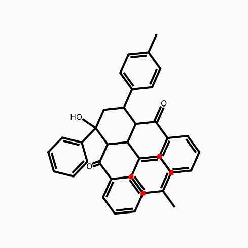 Cc1ccc(C2CC(O)(c3ccccc3)C(C(=O)c3ccccc3)C(c3ccc(C)cc3)C2C(=O)c2ccccc2)cc1